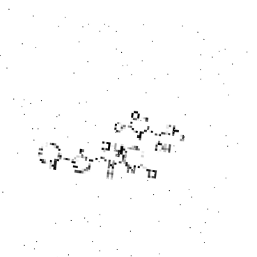 C[C@H](Nc1nc(Cl)cc(N2C(=O)OCC2[C@@H](C)O)n1)c1ccc(-c2ccccn2)s1